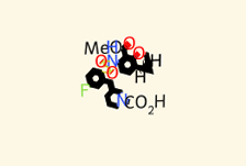 COC(=O)c1c(NS(=O)(=O)c2ccc(F)cc2C=C2CCCN(C(=O)O)C2)ccc2c1OC[C@@H]1C[C@H]21